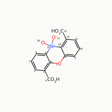 O=C(O)c1cccc2c1Oc1cccc(C(=O)O)c1[N+]2([O-])[O-]